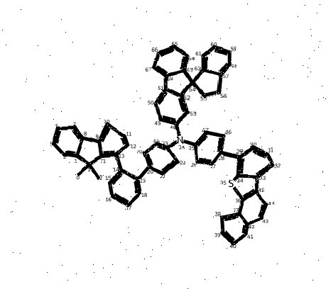 CC1(C)c2ccccc2-c2cccc(-c3ccccc3-c3ccc(N(c4ccc(-c5cccc6c5sc5c7ccccc7ccc65)cc4)c4ccc5c(c4)C4(CCc6ccccc64)c4ccccc4-5)cc3)c21